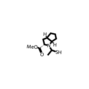 COC(=O)[C@@H]1C[C@@H]2CCC[C@@H]2N1C(C)S